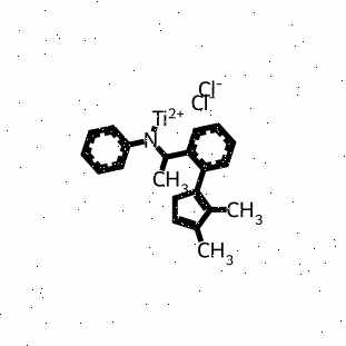 CC1=CCC(c2ccccc2C(C)[N]([Ti+2])c2ccccc2)=C1C.[Cl-].[Cl-]